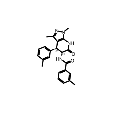 Cc1cccc(C(=O)N[C@H]2C(=O)Nc3c(c(C)nn3C)[C@@H]2c2cccc(C)c2)c1